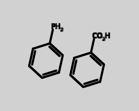 O=C(O)c1ccccc1.Pc1ccccc1